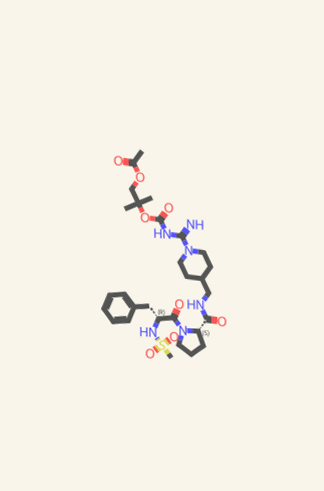 CC(=O)OCC(C)(C)OC(=O)NC(=N)N1CCC(CNC(=O)[C@@H]2CCCN2C(=O)[C@@H](Cc2ccccc2)NS(C)(=O)=O)CC1